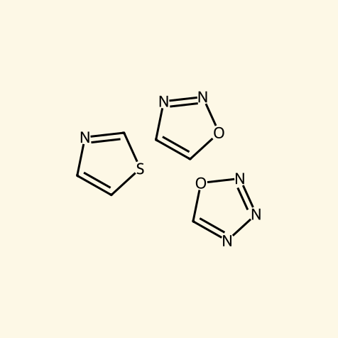 c1conn1.c1cscn1.c1nnno1